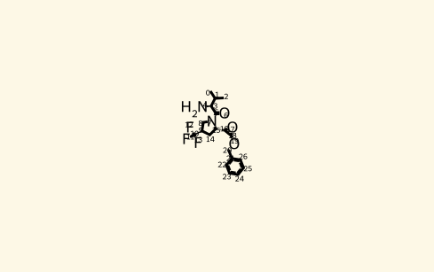 CC(C)[C@H](N)C(=O)N1C[C@H](C(F)(F)F)C[C@H]1C1OC1OCc1ccccc1